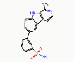 Cc1nccc2c1[nH]c1ccc(-c3cccc(S(N)(=O)=O)c3)cc12